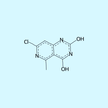 Cc1nc(Cl)cc2nc(O)nc(O)c12